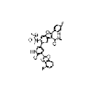 CNC(=O)c1c(-c2ccc(F)cc2)oc2cc(N(C)S(C)(=O)=O)c(-c3c[nH]c(=O)c(-c4nc5c(F)cccc5o4)c3)cc12